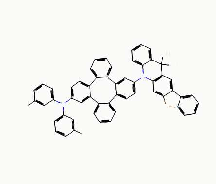 Cc1cccc(N(c2cccc(C)c2)c2ccc3c(c2)-c2ccccc2-c2ccc(N4c5ccccc5C(C)(C)c5cc6c(cc54)sc4ccccc46)cc2-c2ccccc2-3)c1